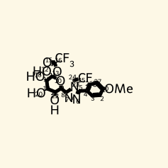 COc1ccc(-c2nnc(C3O[C@](O)(OC(=O)C(F)(F)F)[C@H](O)[C@@H](O)[C@@H]3O)n2CC(F)(F)F)cc1